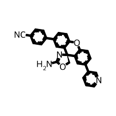 N#Cc1ccc(-c2ccc3c(c2)[C@]2(COC(N)=N2)c2cc(-c4cccnc4)ccc2O3)cc1